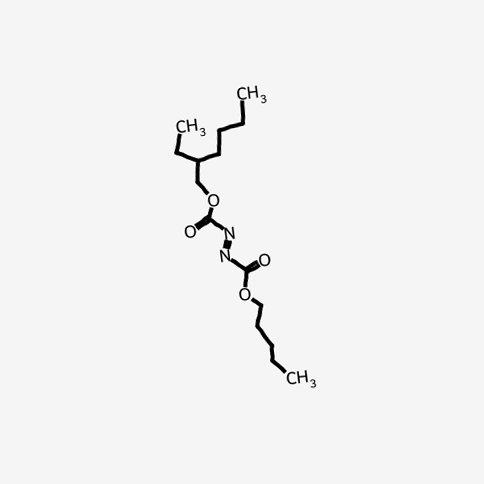 CCCCCOC(=O)N=NC(=O)OCC(CC)CCCC